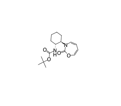 CC(C)(C)OC(=O)N[C@@H]1CCCC[C@H]1N1C=CC=COC1=O